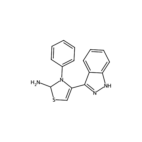 NC1SC=C(c2n[nH]c3ccccc23)N1c1ccccc1